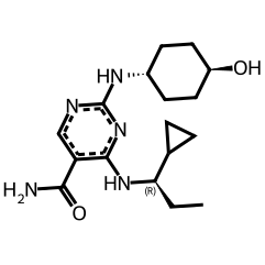 CC[C@@H](Nc1nc(N[C@H]2CC[C@H](O)CC2)ncc1C(N)=O)C1CC1